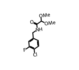 COC(OC)C(=O)NCc1ccc(Cl)c(F)c1